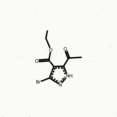 CCOC(=O)c1c(Br)n[nH]c1C(C)=O